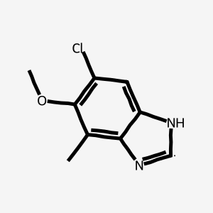 COc1c(Cl)cc2[nH][c]nc2c1C